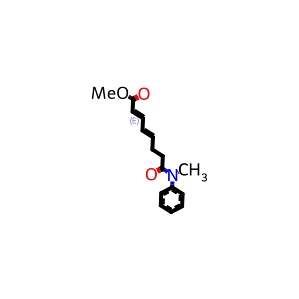 COC(=O)/C=C/C=CCCC(=O)N(C)c1ccccc1